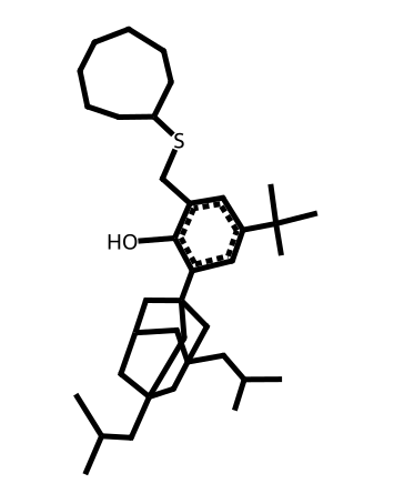 CC(C)CC12CC3CC(CC(C)C)(C1)CC(c1cc(C(C)(C)C)cc(CSC4CCCCCCC4)c1O)(C3)C2